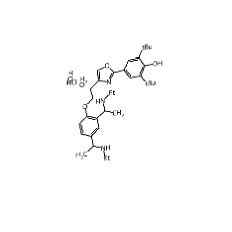 CCNC(C)c1ccc(OCCc2coc(-c3cc(C(C)(C)C)c(O)c(C(C)(C)C)c3)n2)c(C(C)NCC)c1.Cl.Cl.O